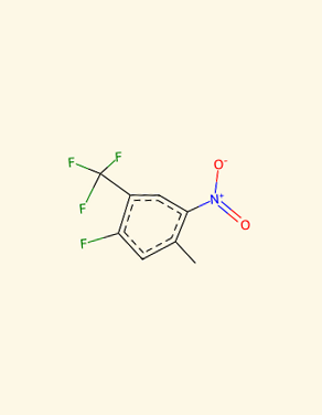 Cc1cc(F)c(C(F)(F)F)cc1[N+](=O)[O-]